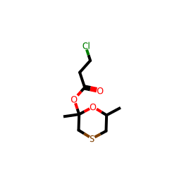 CC1CSCC(C)(OC(=O)CCCl)O1